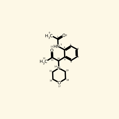 CC(=O)Nc1ccccc1C(C(C)=O)N1CCOCC1